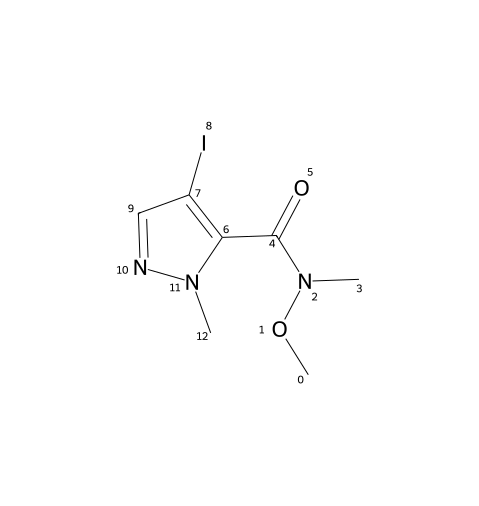 CON(C)C(=O)c1c(I)cnn1C